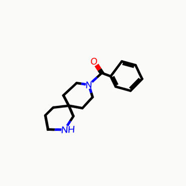 O=C(c1ccccc1)N1CCC2(CCCNC2)CC1